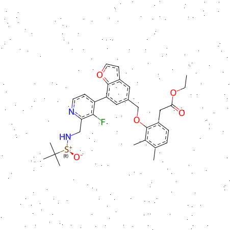 CCOC(=O)Cc1ccc(C)c(C)c1OCc1cc(-c2ccnc(CN[S@@+]([O-])C(C)(C)C)c2F)c2occc2c1